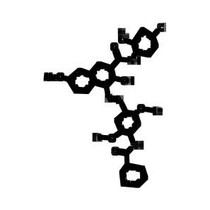 CCOc1cc(NC(=O)c2ccccc2)c(OCC)cc1/N=N/c1c(O)c(C(=O)Nc2ccc(Cl)cc2C)cc2cc(OC)ccc12